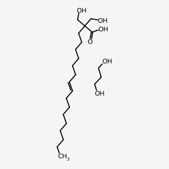 CCCCCCCCC=CCCCCCCC(CO)(CO)C(=O)O.OCCCO